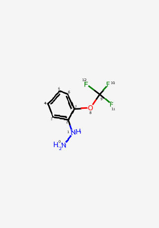 NNc1ccccc1OC(F)(F)F